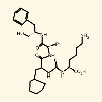 CC(C)[C@@H](NC(=O)C(CC1CCCCC1)NC(=O)N[C@@H](CCCCN)C(=O)O)C(=O)N[C@H](CO)Cc1ccccc1